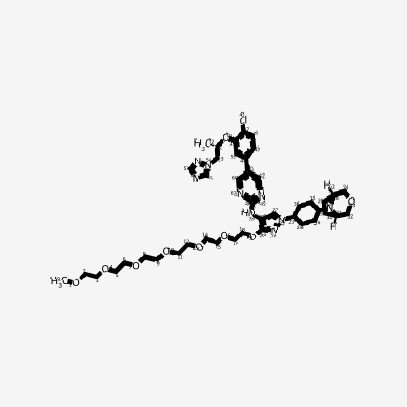 COCCOCCOCCOCCOCCOCCOc1nn(C2CCC(N3[C@@H]4CC[C@H]3COC4)CC2)cc1Nc1ncc(-c2ccc(Cl)c(O[C@@H](C)Cn3cncn3)c2)cn1